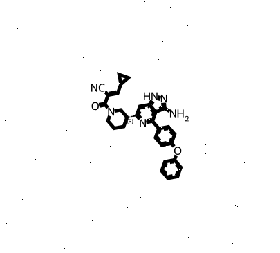 N#CC(=CC1CC1)C(=O)N1CCC[C@@H](c2cc3[nH]nc(N)c3c(-c3ccc(Oc4ccccc4)cc3)n2)C1